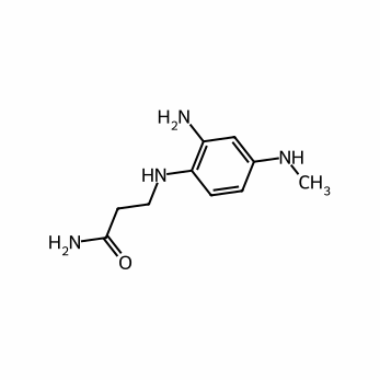 CNc1ccc(NCCC(N)=O)c(N)c1